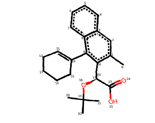 Cc1cc2ccccc2c(C2=CCCCC2)c1[C@H](OC(C)(C)C)C(=O)O